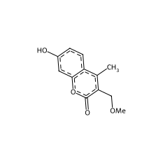 COCc1c(C)c2ccc(O)cc2oc1=O